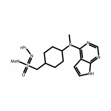 CCCN=S(=O)(CC1CCC(N(C)c2ncnc3[nH]ccc23)CC1)NC